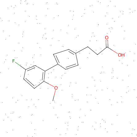 COc1ccc(F)cc1-c1ccc(CCC(=O)O)cc1